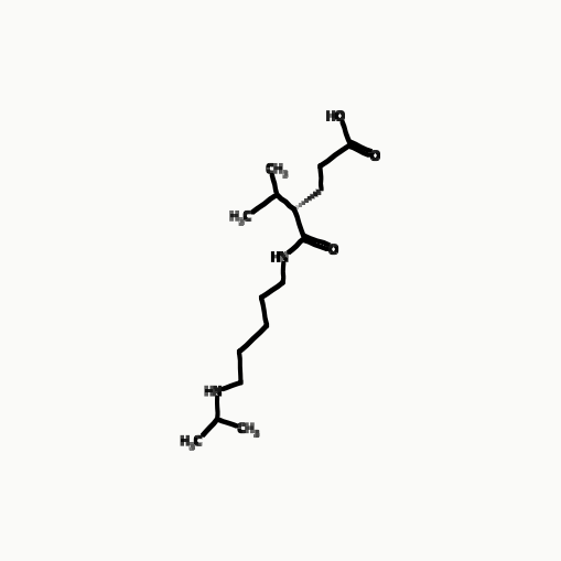 CC(C)NCCCCCNC(=O)[C@@H](CCC(=O)O)C(C)C